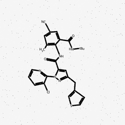 Cc1cc(C#N)cc(C(=O)NC(C)(C)C)c1NC(=O)c1cc(Cc2ccsc2)nn1-c1ncccc1Cl